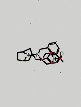 CC(=O)N1CCN(CCN2C3CCC2CC(N(Cc2ccccc2)Cc2ccccc2)C3)CC1